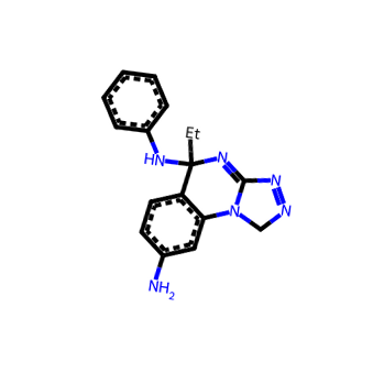 CCC1(Nc2ccccc2)N=C2N=NCN2c2cc(N)ccc21